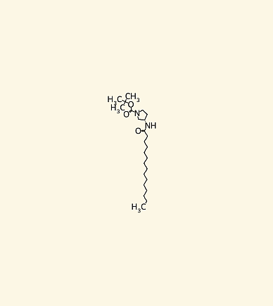 CCCCCCCCCCCCCCC(=O)N[C@H]1CCN(C(=O)OC(C)(C)C)C1